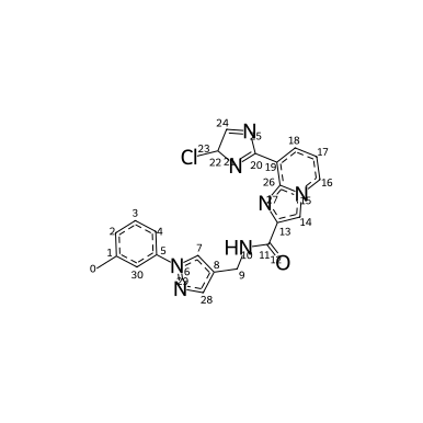 Cc1cccc(-n2cc(CNC(=O)c3cn4cccc(C5=NC(Cl)C=N5)c4n3)cn2)c1